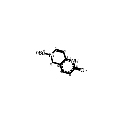 CCCCN1C=Cc2[nH]c(=O)ccc2C1